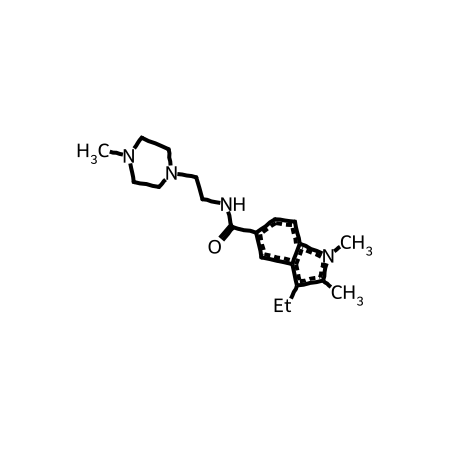 CCc1c(C)n(C)c2ccc(C(=O)NCCN3CCN(C)CC3)cc12